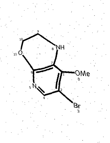 COc1c(Br)cnc2c1NCCO2